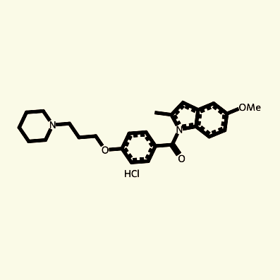 COc1ccc2c(c1)cc(C)n2C(=O)c1ccc(OCCCN2CCCCC2)cc1.Cl